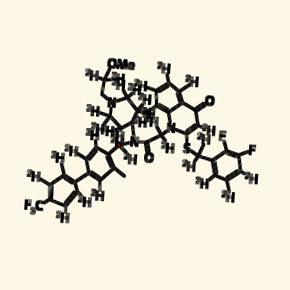 [2H]c1c([2H])c(F)c(F)c(C([2H])([2H])Sc2c([2H])c(=O)c3c([2H])c([2H])c([2H])c([2H])c3n2C([2H])([2H])C(=O)N(C([2H])([2H])c2c([2H])c([2H])c(-c3c([2H])c([2H])c(C(F)(F)F)c([2H])c3[2H])c([2H])c2C)C2([2H])C([2H])([2H])C([2H])([2H])N(CC([2H])([2H])OC)C([2H])([2H])C2([2H])[2H])c1[2H]